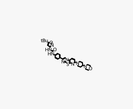 CC(C)(C)c1cc(NC(=O)Nc2ccc(-c3cn4c(n3)sc3nc(N5CCC(N6CCOCC6)CC5)ccc34)cc2)no1